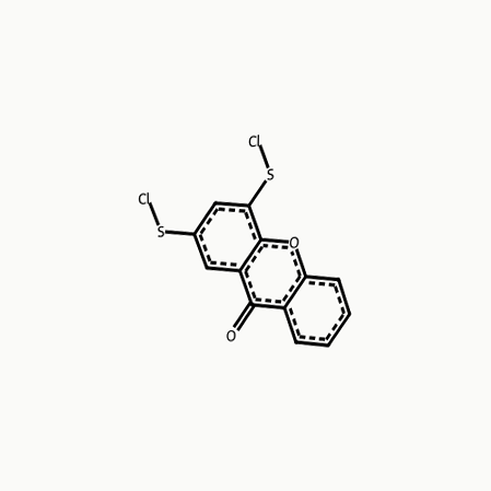 O=c1c2ccccc2oc2c(SCl)cc(SCl)cc12